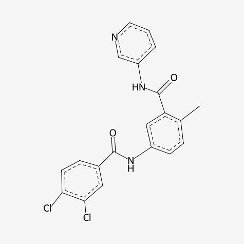 Cc1ccc(NC(=O)c2ccc(Cl)c(Cl)c2)cc1C(=O)Nc1cccnc1